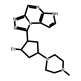 CCC1CC(N2CCN(C)CC2)CC1c1nnc2cnc3[nH]ccc3n12